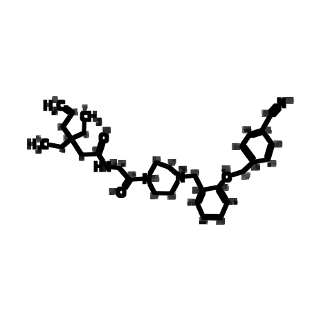 C=CCC(CC)(CC)CC(=O)NCC(=O)N1CCN(Cc2ccccc2OCc2ccc(C#N)cc2)CC1